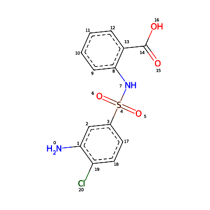 Nc1cc(S(=O)(=O)Nc2ccccc2C(=O)O)ccc1Cl